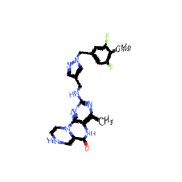 COc1c(F)cc(Cn2cc(CNc3nc(C)c4c(n3)N3CCNCC3C(=O)N4)cn2)cc1F